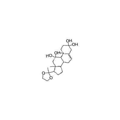 CC1(C2CCC3C4CC=C5CC(O)(O)CCC5(C)C4C(O)(O)CC32C)OCCO1